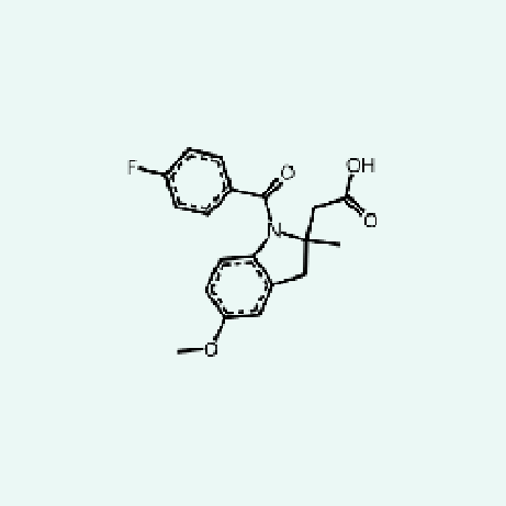 COc1ccc2c(c1)CC(C)(CC(=O)O)N2C(=O)c1ccc(F)cc1